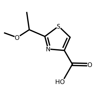 COC(C)c1nc(C(=O)O)cs1